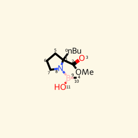 CCCCC1(C(=O)OC)CCCN1B(C)O